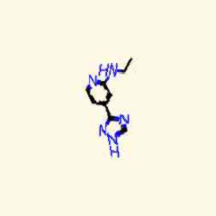 CCNc1cc(-c2nc[nH]n2)ccn1